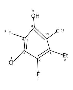 CCc1c(F)c(Cl)c(F)c(O)c1Cl